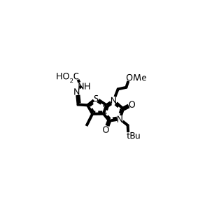 COCCn1c(=O)n(CC(C)(C)C)c(=O)c2c(C)c(/C=N\NC(=O)O)sc21